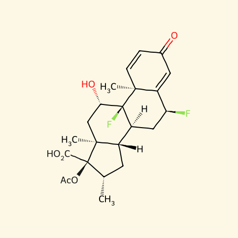 CC(=O)O[C@]1(C(=O)O)[C@@H](C)C[C@H]2[C@@H]3C[C@H](F)C4=CC(=O)C=C[C@]4(C)[C@@]3(F)[C@@H](O)C[C@@]21C